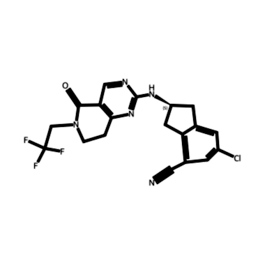 N#Cc1cc(Cl)cc2c1C[C@@H](Nc1ncc3c(n1)CCN(CC(F)(F)F)C3=O)C2